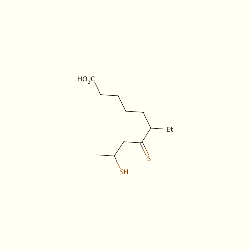 CCC(CCCCC(=O)O)C(=S)CC(C)S